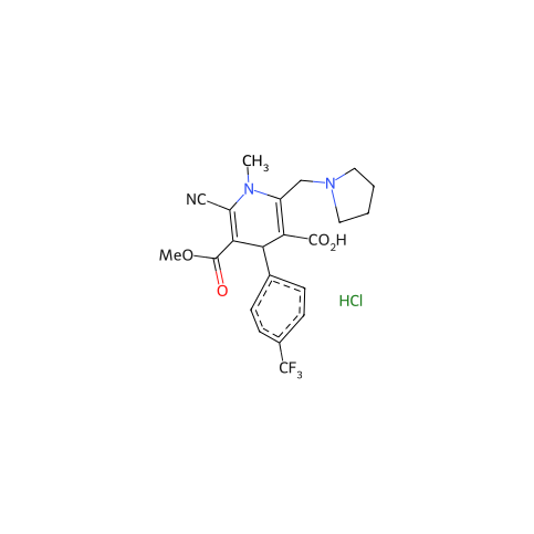 COC(=O)C1=C(C#N)N(C)C(CN2CCCC2)=C(C(=O)O)C1c1ccc(C(F)(F)F)cc1.Cl